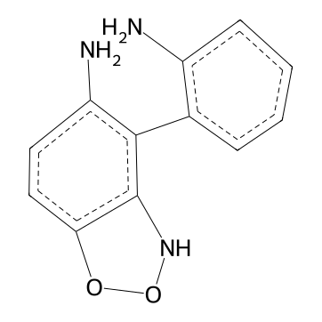 Nc1ccccc1-c1c(N)ccc2c1NOO2